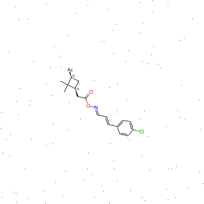 CC(=O)[C@H]1C[C@@H](CC(=O)ON=C/C=C/c2ccc(Cl)cc2)C1(C)C